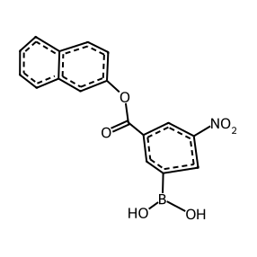 O=C(Oc1ccc2ccccc2c1)c1cc(B(O)O)cc([N+](=O)[O-])c1